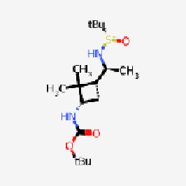 C[C@H](N[S@@+]([O-])C(C)(C)C)[C@@H]1C[C@H](NC(=O)OC(C)(C)C)C1(C)C